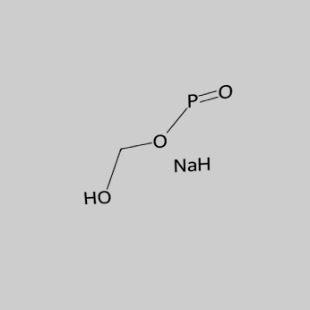 O=POCO.[NaH]